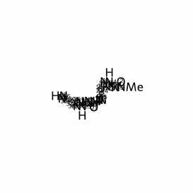 CNC(=O)c1cc(Nc2ncc3ccc(-c4cnn(CNC(=O)c5cc(Nc6ncc7cc(-c8cn[nH]c8)ccc7n6)c[nH]5)c4)cc3n2)sn1